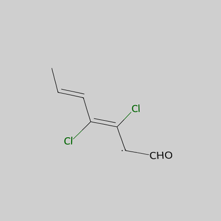 CC=CC(Cl)=C(Cl)[CH]C=O